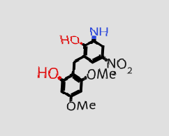 COc1cc(O)c(CC2=C(O)C(=N)CC([N+](=O)[O-])=C2)c(OC)c1